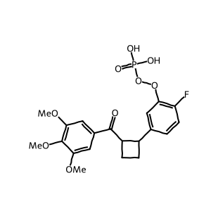 COc1cc(C(=O)C2CCC2c2ccc(F)c(OOP(=O)(O)O)c2)cc(OC)c1OC